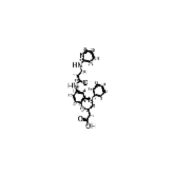 O=C(O)CC1CN(c2ccccc2)c2cc(NC(=O)CCNc3ccccn3)ccc2O1